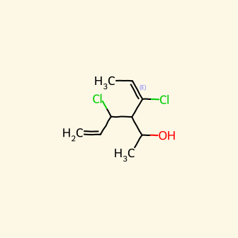 C=CC(Cl)C(/C(Cl)=C\C)C(C)O